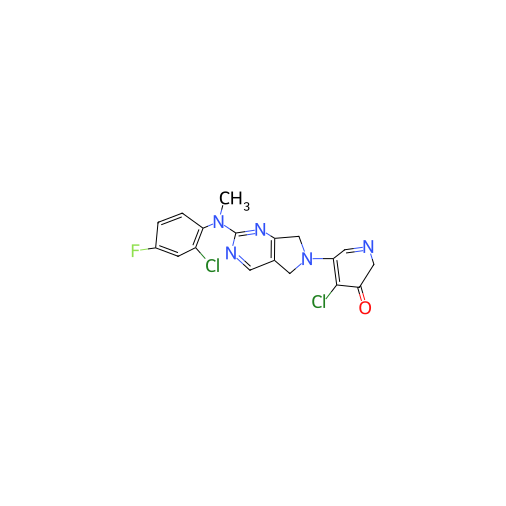 CN(c1ncc2c(n1)CN(C1=C(Cl)C(=O)CN=C1)C2)c1ccc(F)cc1Cl